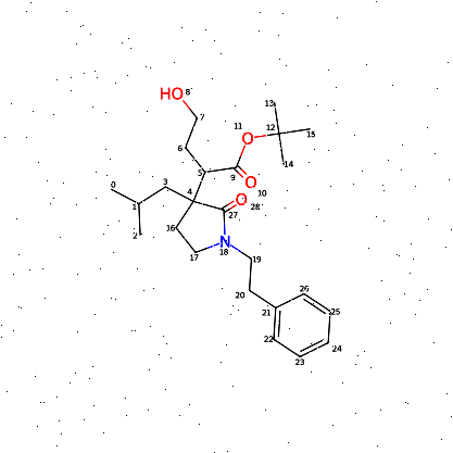 CC(C)CC1(C(CCO)C(=O)OC(C)(C)C)CCN(CCc2ccccc2)C1=O